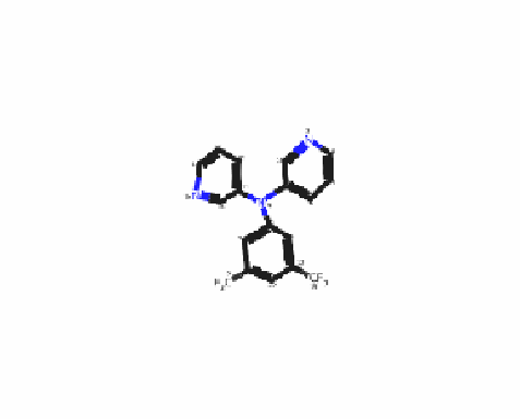 FC(F)(F)c1cc(N(c2cccnc2)c2cccnc2)cc(C(F)(F)F)c1